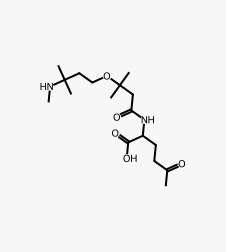 CNC(C)(C)CCOC(C)(C)CC(=O)NC(CCC(C)=O)C(=O)O